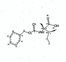 CC[C@H](C)[C@](C)(NC(=O)OCc1ccccc1)C(=O)O